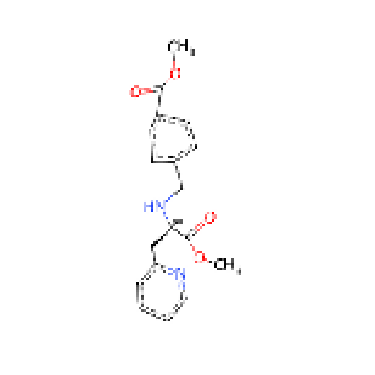 COC(=O)c1ccc(CN[C@H](Cc2ccccn2)C(=O)OC)cc1